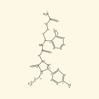 NC(=O)OCCC(NC(=O)Cn1nc(-c2ccc(Cl)cc2)n(CCC(F)(F)F)c1=O)c1ccccc1C(F)(F)F